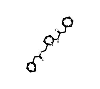 O=C(Cc1ccccc1)Nc1cccc(COC(=O)Cc2ccccc2)n1